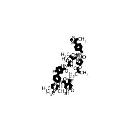 Cc1ncsc1-c1ccc(CNC(=O)[C@@H]2C[C@@H](OC(=O)C(C)C)CN2C(=O)[C@@H](NC(=O)CNC(=O)c2ccc(F)c(-c3ccc(N4C[C@@H](C)N(C)[C@@H](C)C4)c(NC(=O)c4c[nH]c(=O)cc4C(F)(F)F)c3)c2)C(C)(C)C)cc1